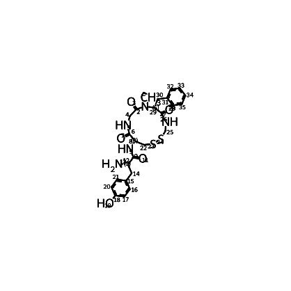 CN1C(=O)CNC(=O)[C@@H](NC(=O)[C@@H](N)Cc2ccc(O)cc2)CSSCNC(=O)[C@@H]1Cc1ccccc1